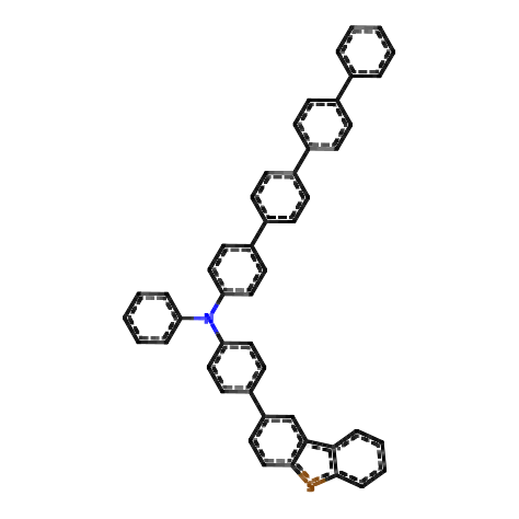 c1ccc(-c2ccc(-c3ccc(-c4ccc(N(c5ccccc5)c5ccc(-c6ccc7sc8ccccc8c7c6)cc5)cc4)cc3)cc2)cc1